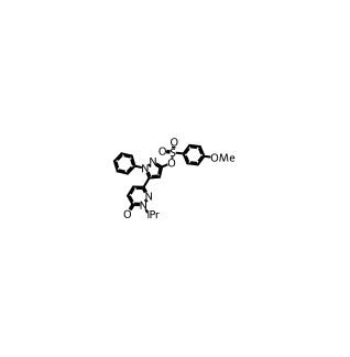 COc1ccc(S(=O)(=O)Oc2cc(-c3ccc(=O)n(C(C)C)n3)n(-c3ccccc3)n2)cc1